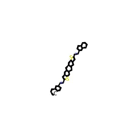 C(=C\c1cc2cc3cc4cc5sc(/C=C/c6ccc7ccccc7c6)cc5cc4cc3cc2s1)/c1ccc2ccccc2c1